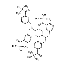 CC(C)(O)C(=O)c1cccc(CN(Cc2cccc(C(=O)C(C)(C)O)c2)C2CCC(N(Cc3cccc(C(=O)C(C)(C)O)c3)Cc3cccc(C(=O)C(C)(C)O)c3)CC2)c1